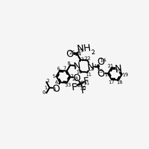 CC(C)Oc1ccc(CN2CCN(C(=O)Oc3cccnc3)CC2C(N)=O)c(OC(F)(F)F)c1